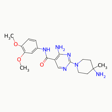 COc1ccc(NC(=O)c2cnc(N3CCC(C)(N)CC3)nc2N)cc1OC